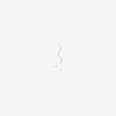 CCCCN(C)S